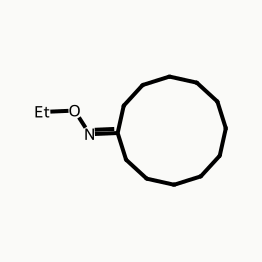 CCON=C1CCCCCCCCCCC1